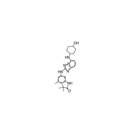 Cc1cc(Nc2nc3cccc(NC4CCC(O)CC4)n3n2)cc2c1C(C)(C)C(=O)N2